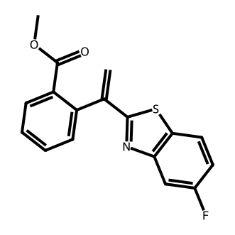 C=C(c1nc2cc(F)ccc2s1)c1ccccc1C(=O)OC